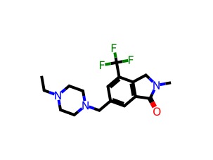 CCN1CCN(Cc2cc3c(c(C(F)(F)F)c2)CN(C)C3=O)CC1